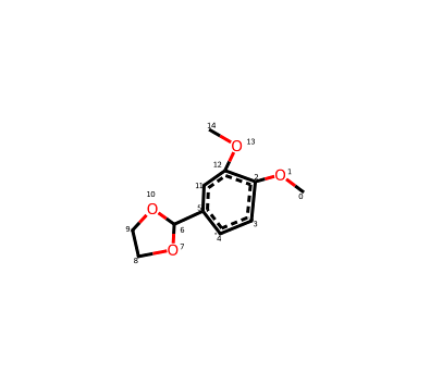 COc1c[c]c(C2OCCO2)cc1OC